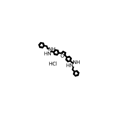 Cl.N=C(NCCc1ccccc1)c1ccc(-c2ccc(-c3ccc(C(=N)NCCc4ccccc4)cc3)o2)cc1